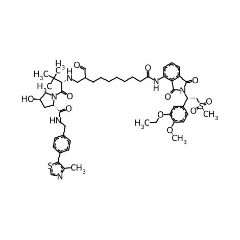 CCOc1cc([C@@H](CS(C)(=O)=O)N2C(=O)c3cccc(NC(=O)CCCCCCCC(C=O)CN[C@H](C(=O)N4C[C@H](O)C[C@H]4C(=O)NCc4ccc(-c5scnc5C)cc4)C(C)(C)C)c3C2=O)ccc1OC